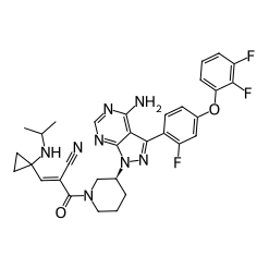 CC(C)NC1(/C=C(\C#N)C(=O)N2CCC[C@H](n3nc(-c4ccc(Oc5cccc(F)c5F)cc4F)c4c(N)ncnc43)C2)CC1